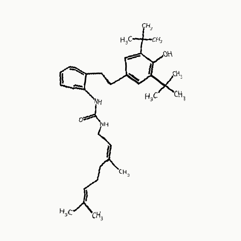 CC(C)=CCCC(C)=CCNC(=O)Nc1ccccc1CCc1cc(C(C)(C)C)c(O)c(C(C)(C)C)c1